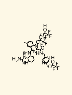 Cc1ccc2nc(C(=O)NCc3cnc(C)cn3)nc(NC3CCCCC3NC(=N)N)c2c1.O=C(O)C(F)(F)F.O=C(O)C(F)(F)F.O=C(O)C(F)(F)F